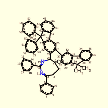 CC1CC/C(c2ccccc2)=N\C(c2ccccc2)=N/C1c1cc2c(cc1-c1ccc3c(c1)-c1ccccc1C3(C)C)-c1ccccc1C2(c1ccccc1)c1ccccc1